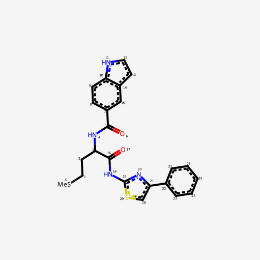 CSCCC(NC(=O)c1ccc2[nH]ccc2c1)C(=O)Nc1nc(-c2ccccc2)cs1